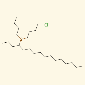 CCCCCCCCCCCCC(CCC)[S+](CCCC)CCCC.[Cl-]